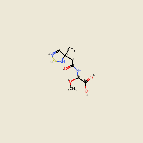 COC(NC(=O)CC1(C)C=NSN1)C(=O)O